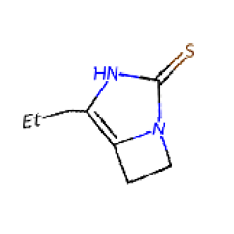 CCc1[nH]c(=S)n2c1CC2